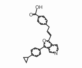 O=C(O)c1ccc(C/C=C/c2oc(-c3ccc(C4CC4)cc3)c3cnccc23)cc1